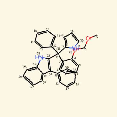 COCOc1ccccc1[C@@](c1ccccc1)(c1ccc[nH]1)c1[nH]c2ccccc2c1-c1ccccc1